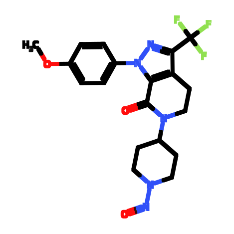 COc1ccc(-n2nc(C(F)(F)F)c3c2C(=O)N(C2CCN(N=O)CC2)CC3)cc1